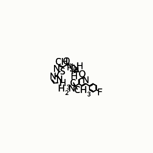 Cc1nc(-c2ncccn2)sc1C(=O)N1C[C@@H]2C(Oc3cc(C(C)(C)N)cc(-c4ccc(F)cc4)n3)[C@@H]2C1